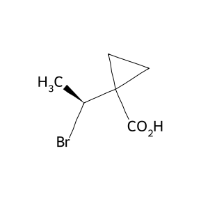 C[C@H](Br)C1(C(=O)O)CC1